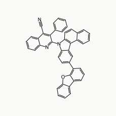 N#Cc1c(-c2ccccc2)c(-n2c3ccc(-c4cccc5c4oc4ccccc45)cc3c3c4ccccc4ccc32)nc2ccccc12